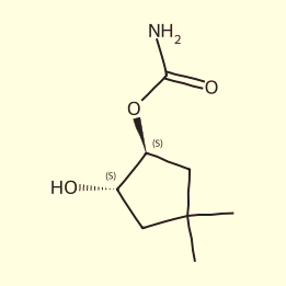 CC1(C)C[C@H](OC(N)=O)[C@@H](O)C1